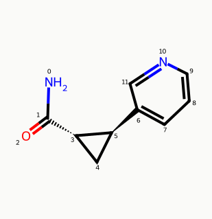 NC(=O)[C@H]1C[C@@H]1c1cccnc1